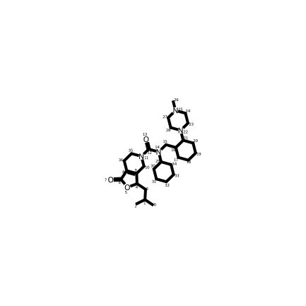 CC(C)CC1OC(=O)C2=C1CN(C(=O)N(CC1CCCCC1N1CCN(C)CC1)C1CCCCC1)CC2